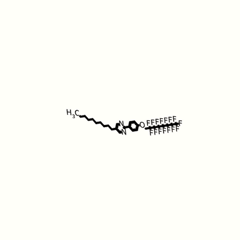 CCCCCCCCCCc1cnc(-c2ccc(OCC(F)(F)C(F)(F)C(F)(F)C(F)(F)C(F)(F)C(F)(F)C(F)(F)F)cc2)nc1